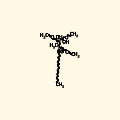 C=CCOCC(O)CN(CC(O)COCC=C)CC(C)N(CCCCCCCCCCCCCCCCCC)CC(O)COCC=C